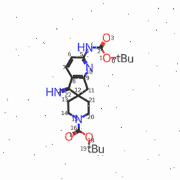 CC(C)(C)OC(=O)Nc1ccc2c(n1)CC1(CCN(C(=O)OC(C)(C)C)CC1)C2=N